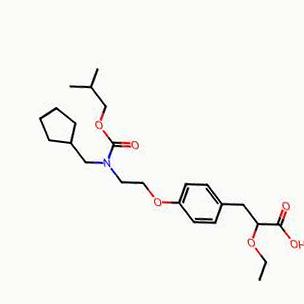 CCOC(Cc1ccc(OCCN(CC2CCCC2)C(=O)OCC(C)C)cc1)C(=O)O